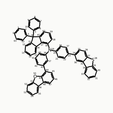 c1ccc(C2(c3ccccc3)c3ccccc3-c3c(N(c4ccc(-c5ccc6sc7ccccc7c6c5)cc4)c4cccc(-c5cccc6c5oc5ccccc56)c4)cccc32)cc1